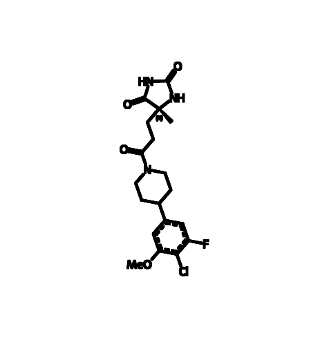 COc1cc(C2CCN(C(=O)CC[C@@]3(C)NC(=O)NC3=O)CC2)cc(F)c1Cl